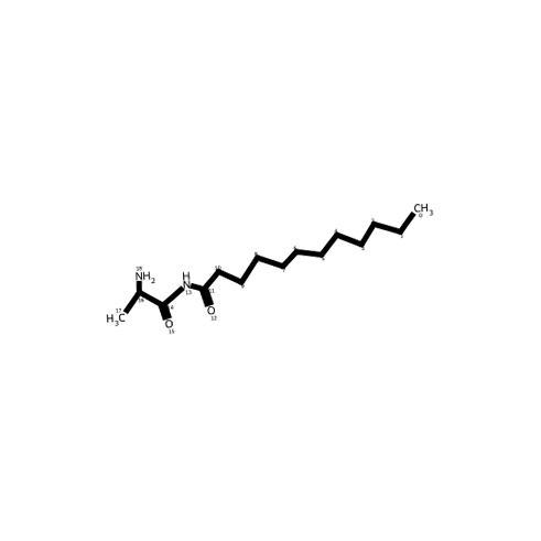 CCCCCCCCCCCC(=O)NC(=O)C(C)N